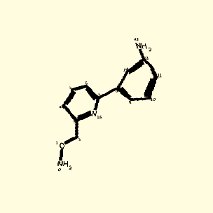 NOCc1cccc(-c2cccc(N)c2)n1